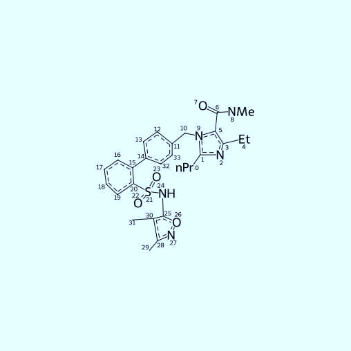 CCCc1nc(CC)c(C(=O)NC)n1Cc1ccc(-c2ccccc2S(=O)(=O)Nc2onc(C)c2C)cc1